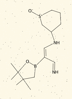 CC1(C)CB(/C(C=N)=C/NC2CCC[S+]([O-])C2)OC1(C)C